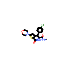 CNC(=O)c1[nH]c(=O)c2sc(N3CCOCC3)cc2c1-c1ccc(Cl)cc1